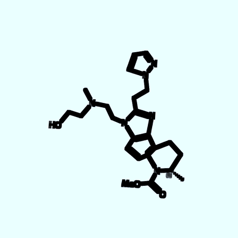 COC(=O)N1c2ccc3c(nc(CCn4cccn4)n3CCN(C)CCO)c2CC[C@@H]1C